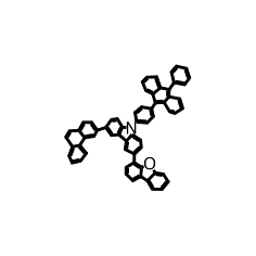 c1ccc(-c2c3ccccc3c(-c3ccc(-n4c5ccc(-c6ccc7ccc8ccccc8c7c6)cc5c5cc(-c6cccc7c6oc6ccccc67)ccc54)cc3)c3ccccc23)cc1